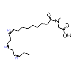 CC/C=C\C/C=C\C/C=C\CCCCCCCC(=O)N(C)CC(=O)O